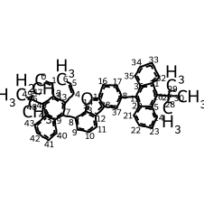 C=Cc1c(/C=C\C)c(-c2cccc3c2oc2ccc(-c4c5ccccc5c(C(C)(C)C)c5ccccc45)cc23)c2ccccc2c1C(C)(C)C